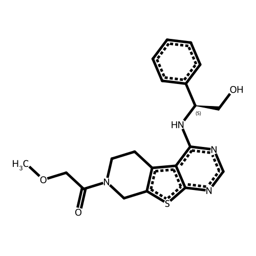 COCC(=O)N1CCc2c(sc3ncnc(N[C@H](CO)c4ccccc4)c23)C1